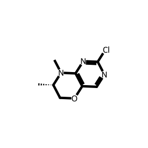 C[C@H]1COc2cnc(Cl)nc2N1C